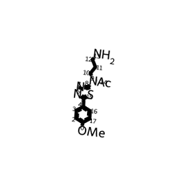 COc1ccc(-c2nnc(N(CCCN)C(C)=O)s2)cc1